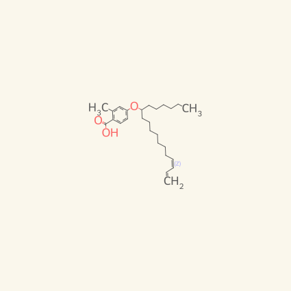 C=C/C=C\CCCCCCCC(CCCCCC)Oc1ccc(C(=O)O)c(C)c1